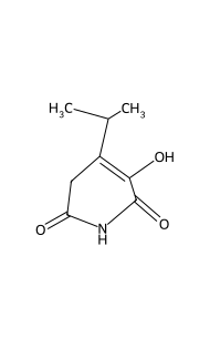 CC(C)C1=C(O)C(=O)NC(=O)C1